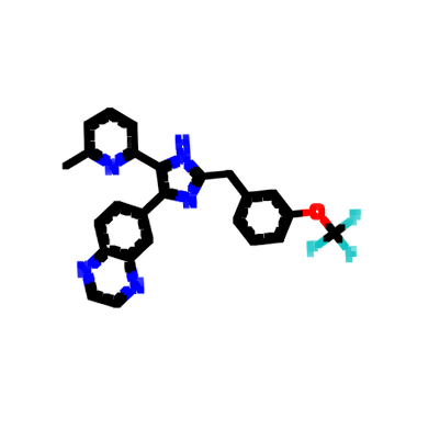 Cc1cccc(-c2[nH]c(Cc3cccc(OC(F)(F)F)c3)nc2-c2ccc3nccnc3c2)n1